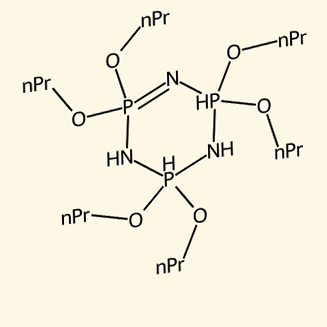 CCCOP1(OCCC)=N[PH](OCCC)(OCCC)N[PH](OCCC)(OCCC)N1